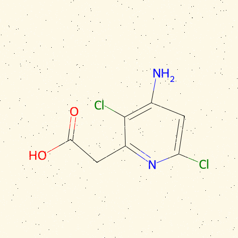 Nc1cc(Cl)nc(CC(=O)O)c1Cl